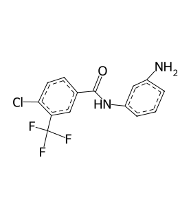 Nc1cccc(NC(=O)c2ccc(Cl)c(C(F)(F)F)c2)c1